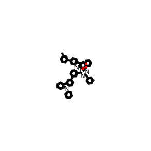 Cc1cccc(-c2ccc3c4ccccc4n(-c4ccc(-c5ccc6c(c5)c5ccccc5n6-c5ccccc5)cc4-c4nc(-c5ccccc5)nc(-c5ccccc5)n4)c3c2)c1